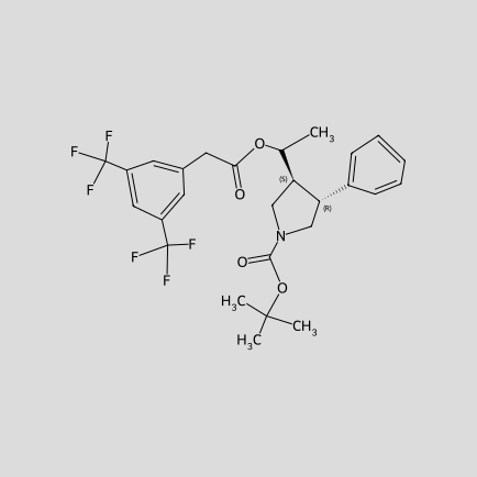 CC(OC(=O)Cc1cc(C(F)(F)F)cc(C(F)(F)F)c1)[C@@H]1CN(C(=O)OC(C)(C)C)C[C@H]1c1ccccc1